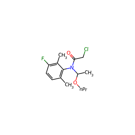 CCCOC(C)N(C(=O)CCl)c1c(C)ccc(F)c1C